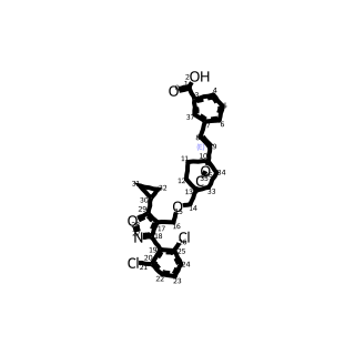 O=C(O)c1cccc(/C=C/C23CCC(COCc4c(-c5c(Cl)cccc5Cl)noc4C4CC4)(CC2)CO3)c1